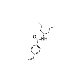 C=Cc1ccc(C(=O)NC(CCC)CCC)cc1